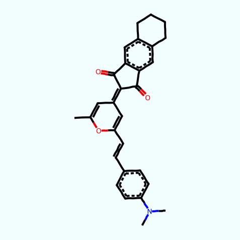 CC1=CC(=C2C(=O)c3cc4c(cc3C2=O)CCCC4)C=C(/C=C/c2ccc(N(C)C)cc2)O1